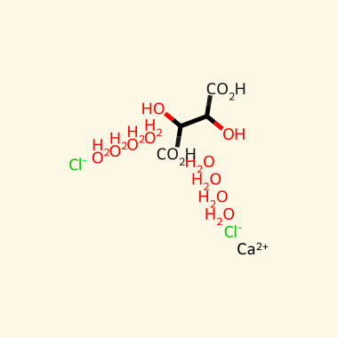 O.O.O.O.O.O.O.O.O=C(O)C(O)C(O)C(=O)O.[Ca+2].[Cl-].[Cl-]